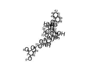 COc1cc(OC)c2oc(COC(=O)Nc3ccn([C@@H]4O[C@H](COP(=O)(N[C@@H](C)C(=O)OC(C)C)Oc5cccc6ccccc56)[C@@H](O)C4(F)F)c(=O)n3)cc2c1